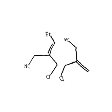 C=C(CCl)CC#N.CCC=C(CCl)CC#N